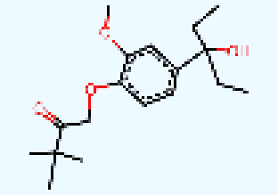 CCC(O)(CC)c1ccc(OCC(=O)C(C)(C)C)c(OC)c1